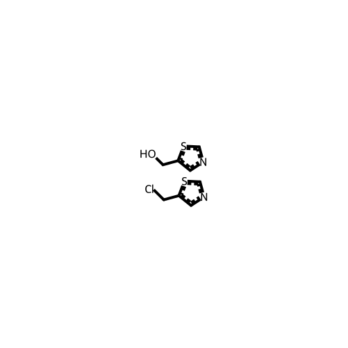 ClCc1cncs1.OCc1cncs1